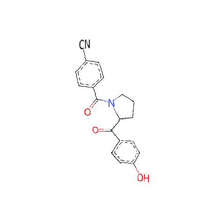 N#Cc1ccc(C(=O)N2CCCC2C(=O)c2ccc(O)cc2)cc1